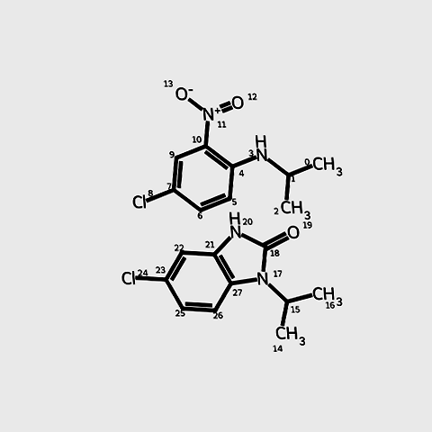 CC(C)Nc1ccc(Cl)cc1[N+](=O)[O-].CC(C)n1c(=O)[nH]c2cc(Cl)ccc21